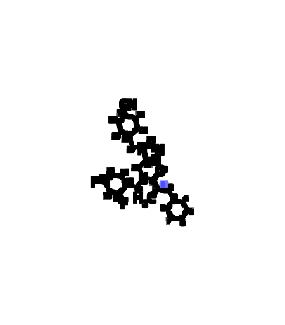 C/C(=C\c1ccccc1)C(=O)N(Cc1ccc(F)cc1F)Cc1nncn1Cc1ccc(C#N)cc1